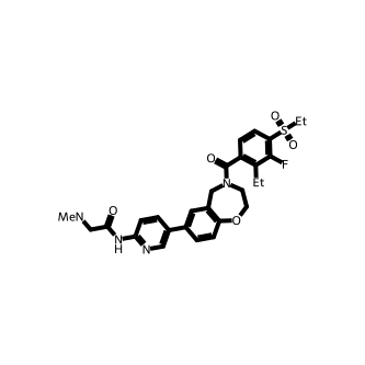 CCc1c(C(=O)N2CCOc3ccc(-c4ccc(NC(=O)CNC)nc4)cc3C2)ccc(S(=O)(=O)CC)c1F